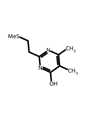 CSCCc1nc(C)c(C)c(O)n1